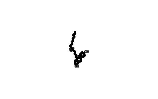 CCCCCCSCCc1nnc(CCCCC2c3ccc(O)cc3CCC2(C)c2ccc(O)cc2)o1